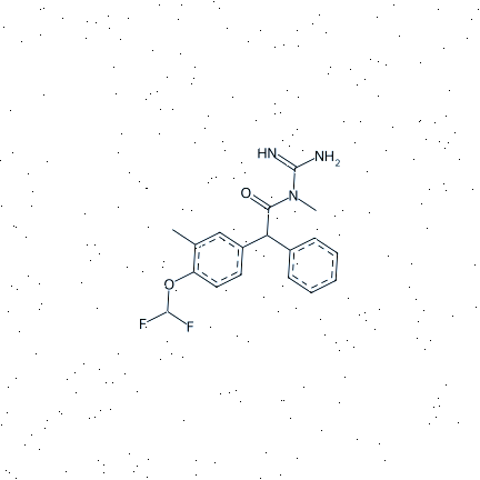 Cc1cc(C(C(=O)N(C)C(=N)N)c2ccccc2)ccc1OC(F)F